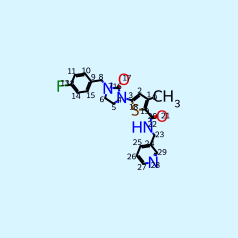 Cc1cc(N2CCN(Cc3ccc(F)cc3)C2=O)sc1C(=O)NCc1cccnc1